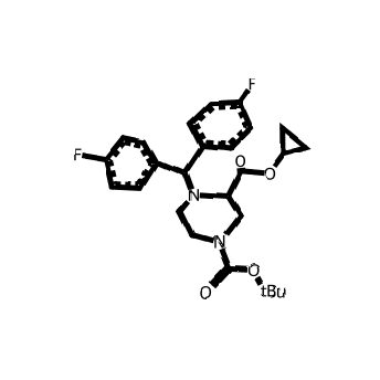 CC(C)(C)OC(=O)N1CCN(C(c2ccc(F)cc2)c2ccc(F)cc2)C(C(=O)OC2CC2)C1